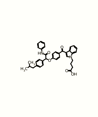 CC(C)Cc1ccc(C(Oc2ccc(C(=O)c3cn(CCCC(=O)O)c4ccccc34)cc2)C(=O)Nc2ccccc2)cc1